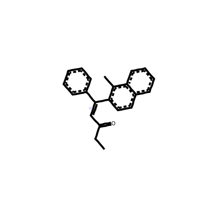 CCC(=O)/C=C(/c1ccccc1)c1ccc2ccccc2c1C